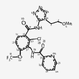 COCCn1nnnc1NC(=O)c1ccc(OC(F)(F)F)c(NC(=O)c2ccccn2)c1Cl